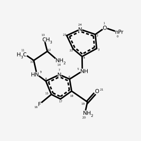 CCCOc1cc(Nc2nc(NC(C)C(C)N)c(F)cc2C(N)=O)ccn1